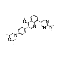 COc1c(-c2ccc(N3C[C@@H](C)O[C@@H](C)C3)cc2)cnc2c(-c3cnc(N(C)C)nc3)cccc12